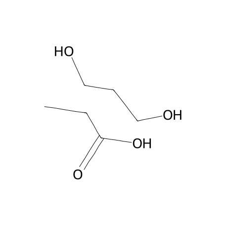 CCC(=O)O.OCCCO